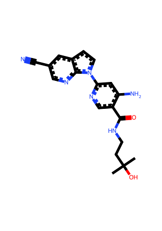 CC(C)(O)CCNC(=O)c1cnc(-n2ccc3cc(C#N)cnc32)cc1N